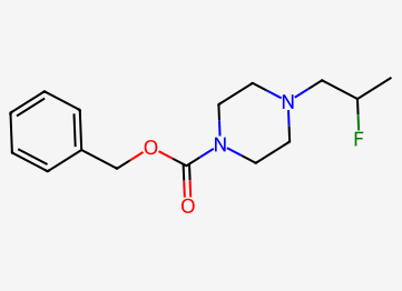 CC(F)CN1CCN(C(=O)OCc2ccccc2)CC1